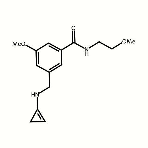 COCCNC(=O)c1cc(CNC2=CC2)cc(OC)c1